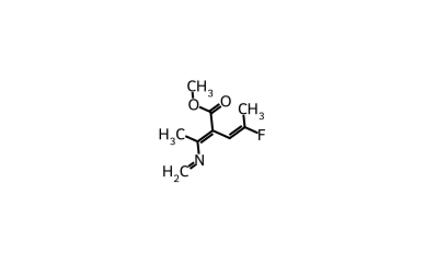 C=N/C(C)=C(\C=C(/C)F)C(=O)OC